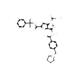 CC(C)COC(=O)n1nc(NC(=O)c2ccc(CN3CCCC3)cc2)c2oc(C(=O)NC(C)(C)c3ccccc3)cc21